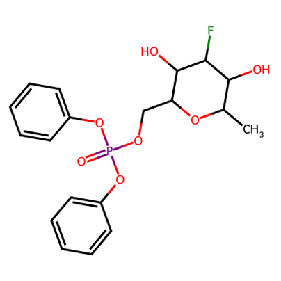 CC1OC(COP(=O)(Oc2ccccc2)Oc2ccccc2)C(O)C(F)C1O